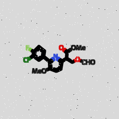 COC(=O)C(COC=O)c1ccc(OC)c(-c2ccc(F)c(Cl)c2)n1